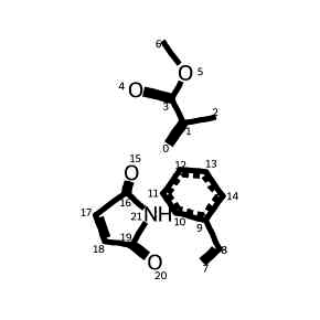 C=C(C)C(=O)OC.C=Cc1ccccc1.O=C1C=CC(=O)N1